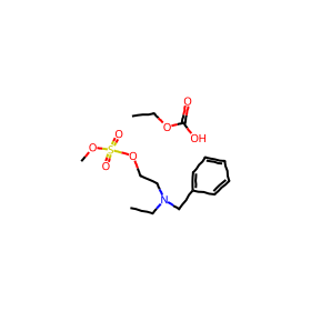 CCN(CCOS(=O)(=O)OC)Cc1ccccc1.CCOC(=O)O